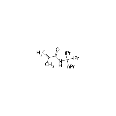 C=C(C)C(=O)NC(CCC)(C(C)C)C(C)C